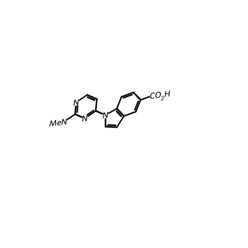 CNc1nccc(-n2ccc3cc(C(=O)O)ccc32)n1